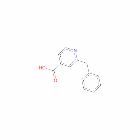 O=C(O)c1ccnc(Cc2ccccc2)c1